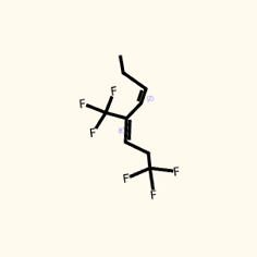 CC/C=C\C(=C/CC(F)(F)F)C(F)(F)F